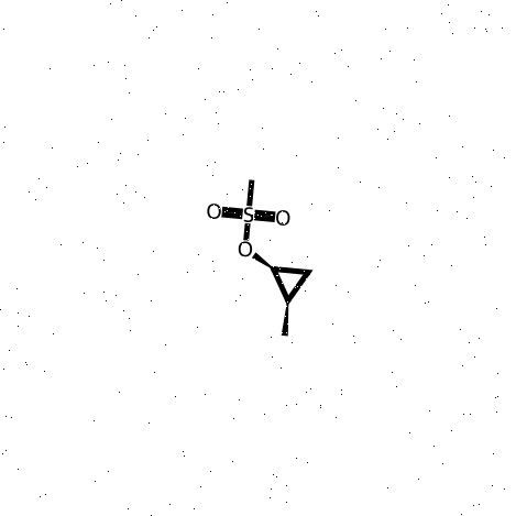 C[C@@H]1C[C@@H]1OS(C)(=O)=O